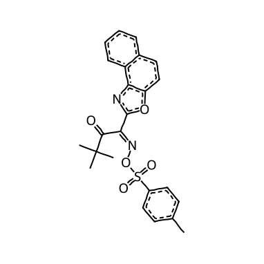 Cc1ccc(S(=O)(=O)ON=C(C(=O)C(C)(C)C)c2nc3c(ccc4ccccc43)o2)cc1